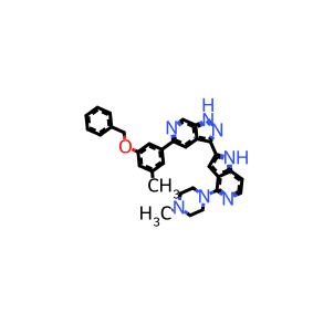 Cc1cc(OCc2ccccc2)cc(-c2cc3c(-c4cc5c(N6CCN(C)CC6)nccc5[nH]4)n[nH]c3cn2)c1